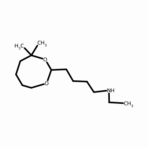 CCNCCCCC1OCCCCC(C)(C)O1